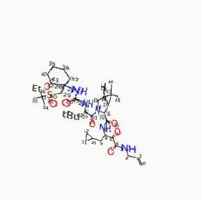 C=CCNC(=O)C(=O)C(CC1CC1)NC(=O)[C@@H]1C2[C@H](CN1C(=O)[C@@H](NC(=O)NC1(CS(=O)(=O)C(C)(C)CC)CCCCC1)C(C)(C)C)C2(C)C